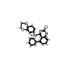 Clc1nc(Nc2ccc3c(c2)OCCO3)c2c(-c3ccccc3)cccc2n1